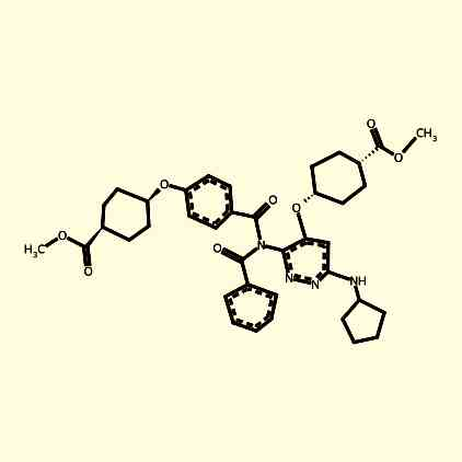 COC(=O)[C@H]1CC[C@@H](Oc2ccc(C(=O)N(C(=O)c3ccccc3)c3nnc(NC4CCCC4)cc3O[C@H]3CC[C@@H](C(=O)OC)CC3)cc2)CC1